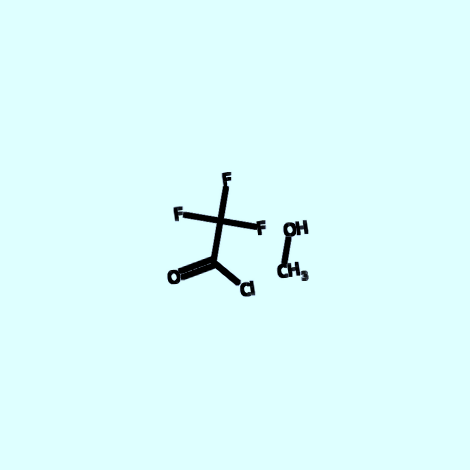 CO.O=C(Cl)C(F)(F)F